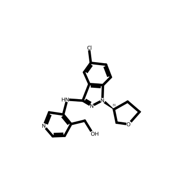 OCc1ccncc1Nc1nn([C@H]2CCOC2)c2ccc(Cl)cc12